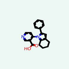 O=C(O)c1cnccc1-n1c(-c2ccccc2)cc2c1CCCC2